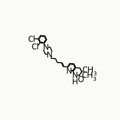 CC1(C)Cc2ccc(C=CCCCN3CCN(c4cccc(Cl)c4Cl)CC3)nc2NC1=O